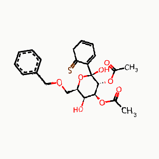 CC(=O)O[C@H]1[C@@H](O)[C@@H](COCc2ccccc2)O[C@](O)(C2=CC=CCC2=S)[C@@H]1OC(C)=O